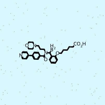 BC(c1ccccc1OCCCCCC(=O)O)N(CCCN1CCOCC1)C(=O)c1ccc(-c2ccncc2)cc1